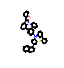 c1ccc(-n2c3oc4ccccc4c3c3cccc(-c4ccc(N(c5ccc(-c6cccc7ccccc67)cc5)c5cccc6c5sc5ccccc56)cc4)c32)cc1